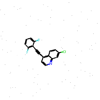 Fc1cccc(F)c1C#Cc1ccnc2cc(Cl)ccc12